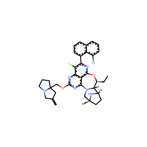 C=C1CN2CCCC2(COc2nc3c4c(nc(-c5cccc6cccc(Cl)c56)c(F)c4n2)O[C@@H](CC)[C@@H]2[C@@H]4CC[C@H](CN32)N4)C1